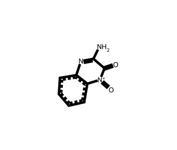 NC1=Nc2ccccc2[N+](=O)C1=O